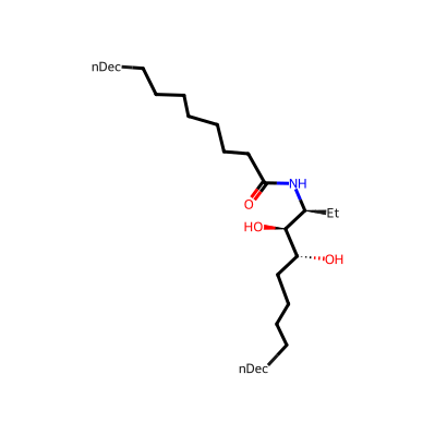 CCCCCCCCCCCCCCCCCC(=O)N[C@@H](CC)[C@H](O)[C@H](O)CCCCCCCCCCCCCC